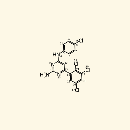 Nc1nc(Nc2ccc(Cl)cc2)cc(-c2cc(Cl)cc(Cl)c2Cl)n1